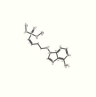 CCOP(=O)(/C=C\CCOn1cnc2c(N)ncnc21)OCC